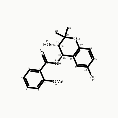 COc1ccccc1C(=O)N[C@@H]1c2cc(C(C)=O)ccc2OC(C)(C)[C@H]1O